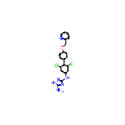 Nc1nc(Nc2cc(Cl)c(-c3ccc(OCc4ccccn4)cc3)c(Cl)c2)n[nH]1